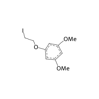 COc1cc(OC)cc(OCCI)c1